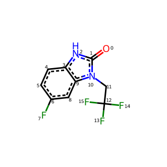 O=c1[nH]c2ccc(F)cc2n1CC(F)(F)F